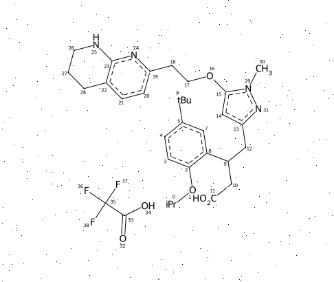 CC(C)Oc1ccc(C(C)(C)C)cc1C(CC(=O)O)Cc1cc(OCCc2ccc3c(n2)NCCC3)n(C)n1.O=C(O)C(F)(F)F